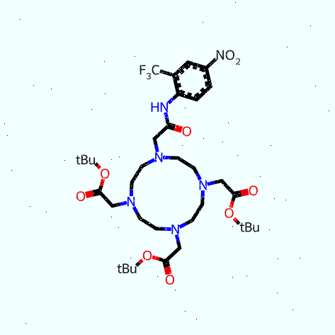 CC(C)(C)OC(=O)CN1CCN(CC(=O)Nc2ccc([N+](=O)[O-])cc2C(F)(F)F)CCN(CC(=O)OC(C)(C)C)CCN(CC(=O)OC(C)(C)C)CC1